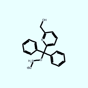 CC(C)(C)[SiH2]OC(c1ccccc1)(c1ccccc1)c1cccc(CO)n1